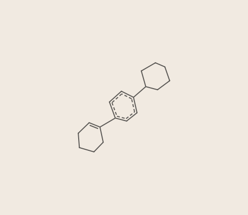 C1=C(c2ccc(C3CCCCC3)cc2)CCCC1